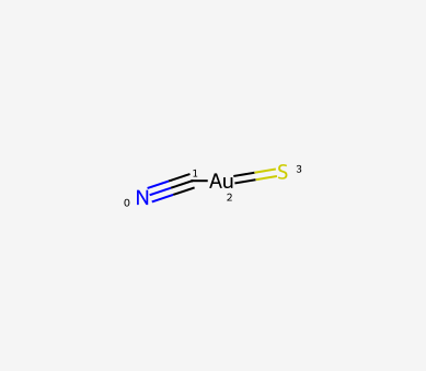 N#[C][Au]=[S]